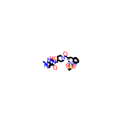 C=CS(=O)(=O)NC[C@@H](Cc1ccccc1)C(=O)N1CCC(O)(Cn2cnc3c(cnn3C)c2=O)CC1